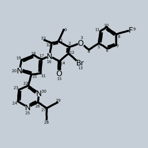 Cc1c(OCc2ccc(F)cc2)c(Br)c(=O)n(-c2ccnc(-c3ccnc(C(C)C)n3)c2)c1C